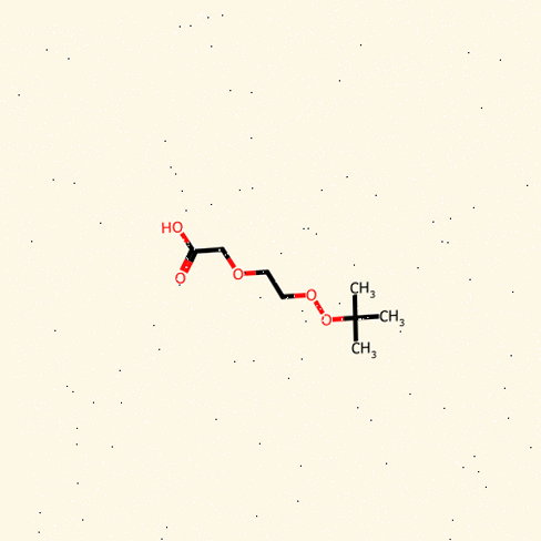 CC(C)(C)OOCCOCC(=O)O